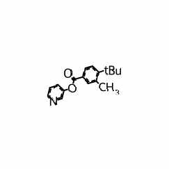 Cc1cc(C(=O)Oc2cccnc2)ccc1C(C)(C)C